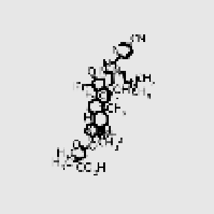 CC(C)C1=C2[C@H]3CC[C@@H]4[C@@]5(C)CC[C@H](OC(=O)CC(C)(C)C(=O)O)C(C)(C)[C@@H]5CC[C@@]4(C)[C@]3(C)CC[C@@]2(C(O)c2nnc(-c3ccc(C#N)cn3)n2CCN(C)C)CC1=O